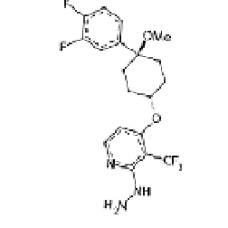 CO[C@]1(c2ccc(F)c(F)c2)CC[C@@H](Oc2ccnc(NN)c2C(F)(F)F)CC1